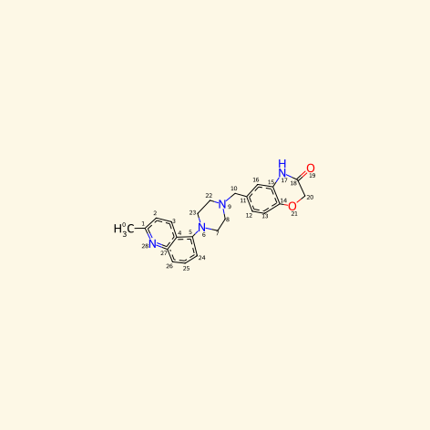 Cc1ccc2c(N3CCN(Cc4ccc5c(c4)NC(=O)CO5)CC3)cccc2n1